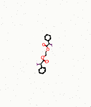 O=C(OCCOC(=O)C(I)c1ccccc1)C(I)c1ccccc1